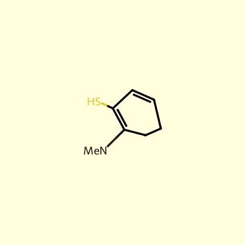 CNC1=C(S)C=CCC1